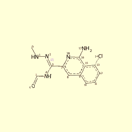 CN/N=C(\NC=O)c1cc2cccc(Cl)c2c(N)n1